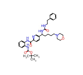 CC(C)(C)OC(=O)Nc1ccccc1NC(=O)c1ccc(C(CCCCN2CCOCC2)NC(=O)NCCc2ccccc2)cn1